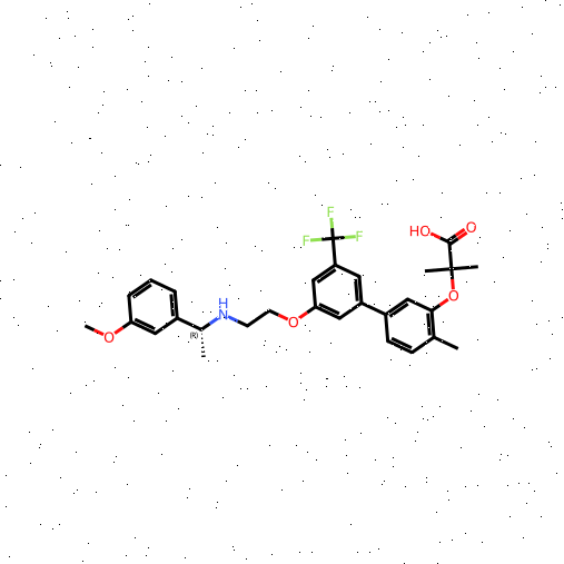 COc1cccc([C@@H](C)NCCOc2cc(-c3ccc(C)c(OC(C)(C)C(=O)O)c3)cc(C(F)(F)F)c2)c1